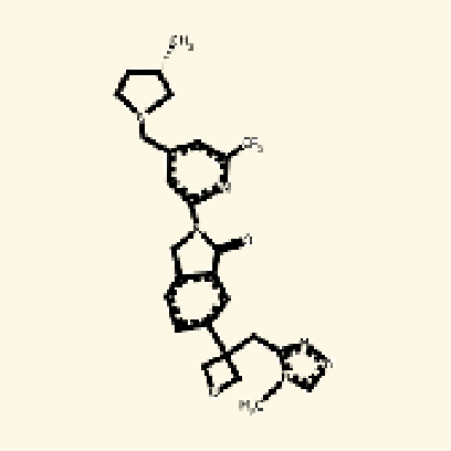 C[C@H]1CCN(Cc2cc(N3Cc4ccc(C5(Cc6nncn6C)COC5)cc4C3=O)nc(C(F)(F)F)c2)C1